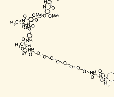 COc1cc2c(cc1OCCCOc1cc3c(cc1OC)C(=O)N1C=C(C)C[C@H]1[C@H](O)N3C(=O)OCc1ccc(NC(=O)[C@H](C)NC(=O)[C@@H](NC(=O)CCOCCOCCOCCOCCOCCOCCOCCOCCNC(=O)CCN3C(=O)CC(C4(C)CCCCCCCCC4)C3=O)C(C)C)cc1)N=C[C@@H]1CC(C)=CN1C2=O